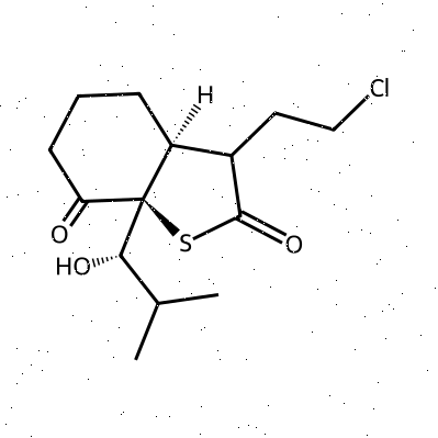 CC(C)[C@H](O)[C@@]12SC(=O)C(CCCl)[C@@H]1CCCC2=O